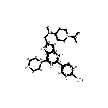 CC(C)N1CCC(N(C)Cc2cc3nc(-c4cnc(N)nc4)nc(N4CCOCC4)c3s2)CC1